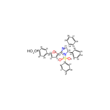 Cc1ccc(S(=O)(=O)N2C(c3ccc(-c4ccc(C(=O)O)cc4)o3)=N[C@H](c3ccccc3)[C@H]2c2ccccc2)cc1